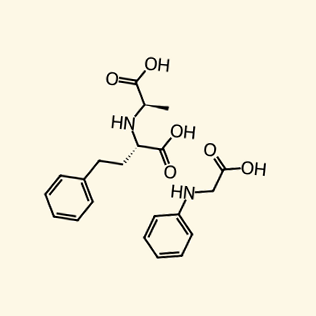 C[C@@H](N[C@@H](CCc1ccccc1)C(=O)O)C(=O)O.O=C(O)CNc1ccccc1